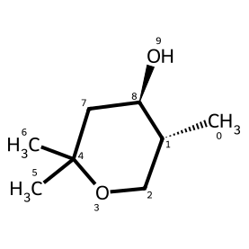 C[C@@H]1COC(C)(C)C[C@H]1O